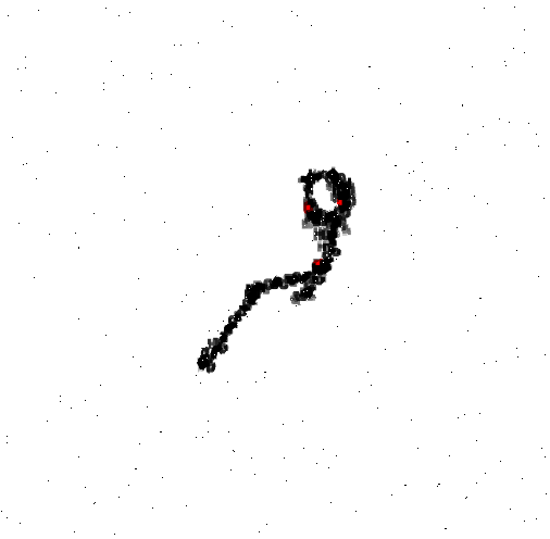 C=C1C[C@@H]2CC[C@@]34CC5O[C@@H]6C(O[C@H]7CCC(CC(=O)C[C@@H]8[C@@H](OC)[C@@H](C[C@H](O)CNC(=O)OCc9ccc(N(CCOCCOCCOCCn%10cc(COCCOCCOCCOCCNC(=O)CCN%11C(=O)C=CC%11=O)nn%10)C(=O)OCC(C)(C)SSC)cc9)O[C@H]8CC8O[C@@H](CCC1O2)C[C@@H](C)C8=C)O[C@@H]7[C@@H]6O3)[C@@H]5O4